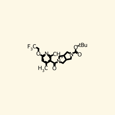 Cc1cc(OCC(F)(F)F)nc(C)c1C(=O)N1CC2CN(C(=O)OC(C)(C)C)CC2C1